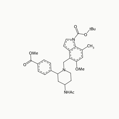 COC(=O)c1ccc(C2CC(NC(C)=O)CCN2Cc2c(OC)cc(C)c3c2ccn3C(=O)OC(C)(C)C)cc1